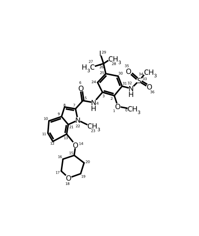 COc1c(NC(=O)c2cc3cccc(OC4CCOCC4)c3n2C)cc(C(C)(C)I)cc1NS(C)(=O)=O